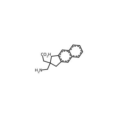 NCC1(CC(=O)O)Cc2cc3ccccc3cc2C1